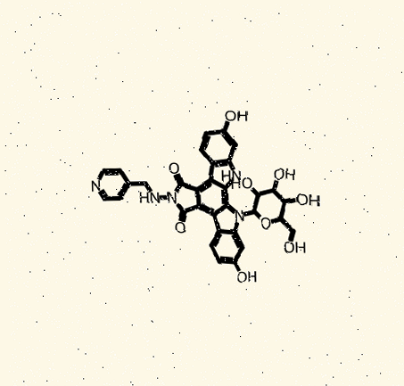 O=C1c2c(c3c4ccc(O)cc4n(C4OC(CO)C(O)C(O)C4O)c3c3[nH]c4cc(O)ccc4c23)C(=O)N1NCc1ccncc1